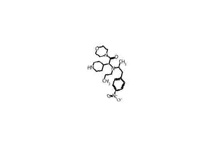 CCCN(C(C)Cc1ccc([N+](=O)[O-])cc1)C(C(=O)N1CCOCC1)C1CCNCC1